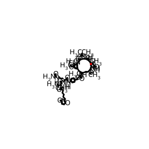 COc1cc2cc(c1Cl)N(C)C(=O)C[C@H](OC(=O)C(C)C)[C@]1(C)O[C@H]1[C@H](C)[C@@H]1C[C@@](O)(NC(=O)O1)[C@H](OC)/C=C/[C@H]1N(C(=O)OCc3ccc(NC(=O)[C@H](CCCNC(N)=O)NC(=O)[C@@H](NC(=O)CCCCCN4C(=O)C=CC4=O)C(C)C)cc3)C1(C)C2